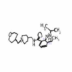 C/C=C1/C=CC=C(C(=O)NCC2CCN(CC3CCOCC3)CC2)/C1=N/NC(C)C